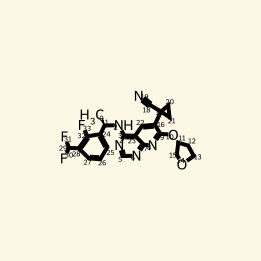 C[C@@H](Nc1ncnc2nc(O[C@@H]3CCOC3)c(C3(C#N)CC3)cc12)c1cccc(C(F)F)c1F